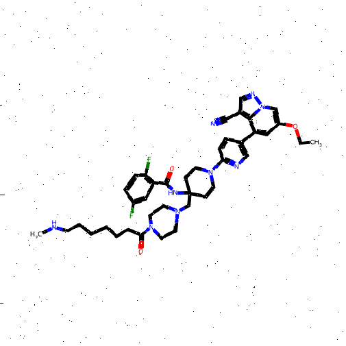 CCOc1cc(-c2ccc(N3CCC(CN4CCN(C(=O)CCCCCCNC)CC4)(NC(=O)c4cc(F)ccc4F)CC3)nc2)c2c(C#N)cnn2c1